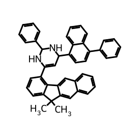 CC1(C)c2cc3ccccc3cc2-c2c(C3=CC(c4ccc(-c5ccccc5)c5ccccc45)NC(c4ccccc4)N3)cccc21